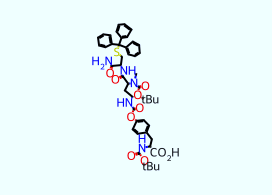 CN(C(=O)OC(C)(C)C)C(CCNC(=O)Oc1ccc(CC(NC(=O)OC(C)(C)C)C(=O)O)cc1)C(=O)NC(CSC(c1ccccc1)(c1ccccc1)c1ccccc1)C(N)=O